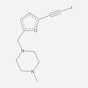 CN1CCN(Cc2ccc(C#CI)o2)CC1